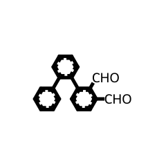 O=Cc1cccc(-c2ccccc2-c2ccccc2)c1C=O